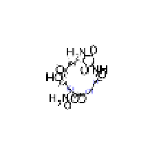 CO[C@H]1/C=C\C=C(/C)C(=O)NC2=CC(=O)C(N)=C(C[C@@H](C)C[C@@H](OC)[C@@H](O)[C@@H](C)/C=C(\C)[C@@H]1OC(N)=O)C2=O